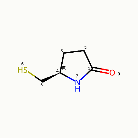 O=C1CC[C@H](CS)N1